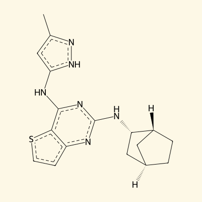 Cc1cc(Nc2nc(N[C@H]3C[C@@H]4CC[C@@H]3C4)nc3ccsc23)[nH]n1